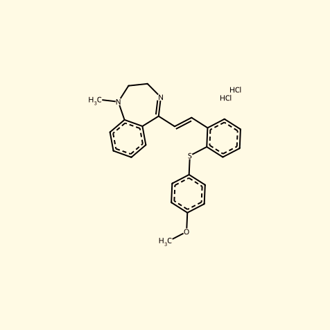 COc1ccc(Sc2ccccc2/C=C/C2=NCCN(C)c3ccccc32)cc1.Cl.Cl